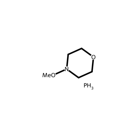 CON1CCOCC1.P